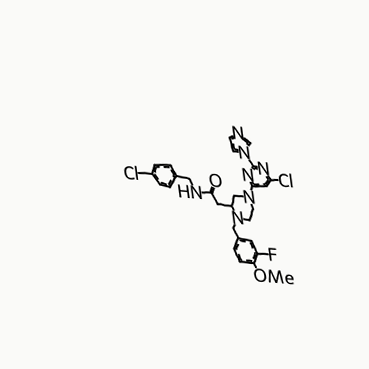 COc1ccc(CN2CCN(c3cc(Cl)nc(-n4ccnc4)n3)CC2CC(=O)NCc2ccc(Cl)cc2)cc1F